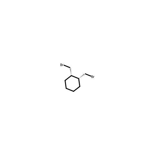 BrC[C@@H]1CCCC[C@@H]1CBr